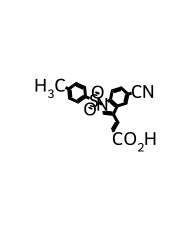 Cc1ccc(S(=O)(=O)n2cc(/C=C/C(=O)O)c3cc(C#N)ccc32)cc1